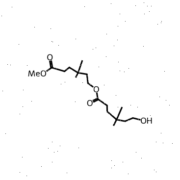 COC(=O)CCC(C)(C)CCOC(=O)CCC(C)(C)CCO